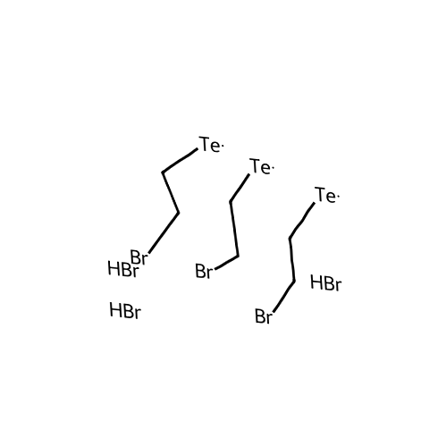 Br.Br.Br.BrCC[Te].BrCC[Te].BrCC[Te]